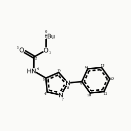 CC(C)(C)OC(=O)Nc1cnn(-c2ccccc2)c1